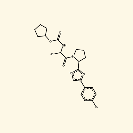 CC(C)C(NC(=O)OC1CCCC1)C(=O)N1CCCC1c1nc(-c2ccc(Br)cc2)c[nH]1